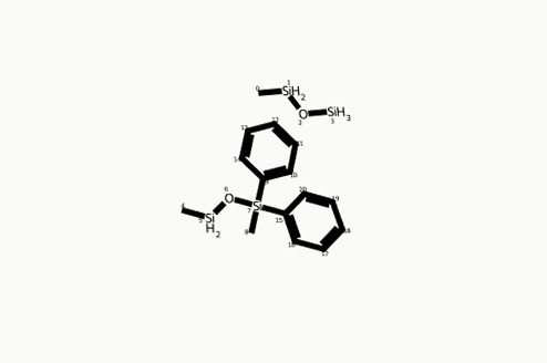 C[SiH2]O[SiH3].C[SiH2]O[Si](C)(c1ccccc1)c1ccccc1